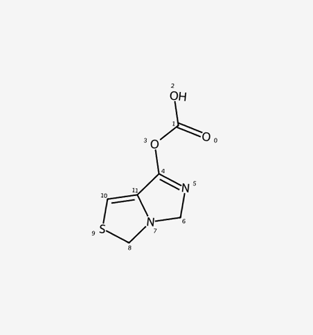 O=C(O)OC1=NCN2CSC=C12